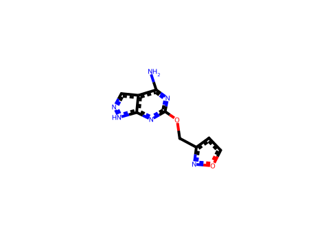 Nc1nc(OCc2ccon2)nc2[nH]ncc12